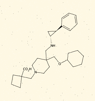 O=C(O)C1(CN2CCC(CN[C@@H]3C[C@H]3c3ccccc3)(COC3CCCCC3)CC2)CCC1